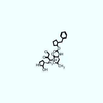 CC(C)C[C@H](NC(=O)OC1CCCC1Cc1ccccc1)C(=O)N[C@@H](C[C@@H]1CCNC1O)C(=O)CCl